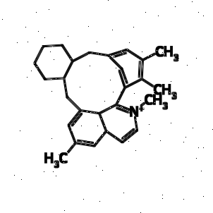 CC1=CC2C=C[N+](C)=C3c4cc(cc(C)c4C)CC4CCCCC4CC(=C1)C32